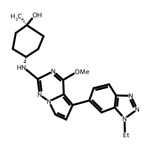 CCn1nnc2ccc(-c3ccn4nc(N[C@H]5CC[C@](C)(O)CC5)nc(OC)c34)cc21